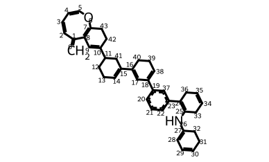 C=C1/C=C\C=C/OC2=C1C=C(C1CCC=C(C3=CC(c4cccc(C5=C(NC6=CC=CCC6)CC=CC5)c4)=CCC3)C1)CC2